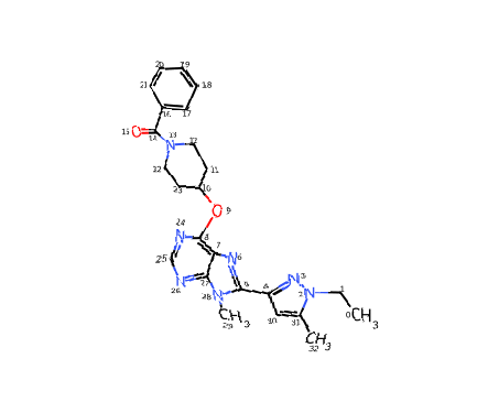 CCn1nc(-c2nc3c(OC4CCN(C(=O)c5ccccc5)CC4)ncnc3n2C)cc1C